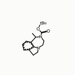 CC1c2cccc3c2N(CC3)CCN1C(=O)OC(C)(C)C